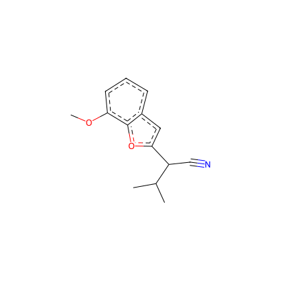 COc1cccc2cc(C(C#N)C(C)C)oc12